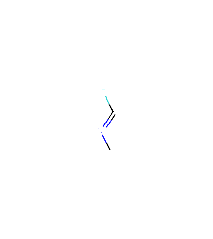 CN=CF